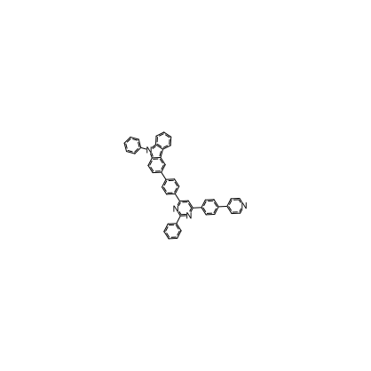 c1ccc(-c2nc(-c3ccc(-c4ccncc4)cc3)cc(-c3ccc(-c4ccc5c(c4)c4ccccc4n5-c4ccccc4)cc3)n2)cc1